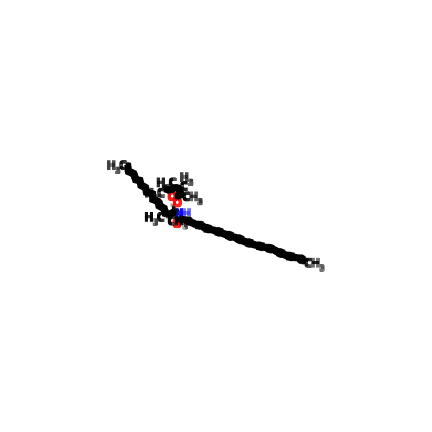 CC#CC#CC#CC#CC#CC#CC#CC#CC#CC#CC#CC#CC(=O)N[C@@H](COC1OC(CC)C(C)C(C)C1C)[C@H](C)[C@H](C)CC=CCCCCCCCCCCC